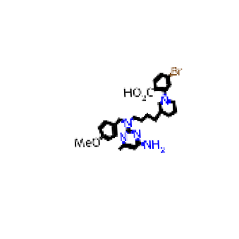 COc1ccc(CN(CCCCC2CCCN(c3cc(Br)ccc3C(=O)O)C2)c2nc(C)cc(N)n2)cc1